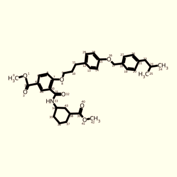 COC(=O)c1ccc(OCCCc2ccc(OCc3ccc(CC(C)C)cc3)cc2)c(C(=O)NC2CCCC(C(=O)OC)C2)c1